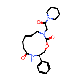 O=C1CC/C=C/CN(CC(=O)N2CCCCC2)C(=O)OC[C@@H](c2ccccc2)N1